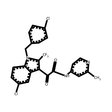 Cc1cc(NC(=O)C(=O)c2c(C(F)(F)F)n(Cc3ccc(Cl)cc3)c3ccc(Cl)cc23)ccn1